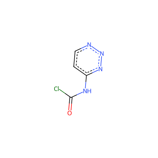 O=C(Cl)Nc1ccnnn1